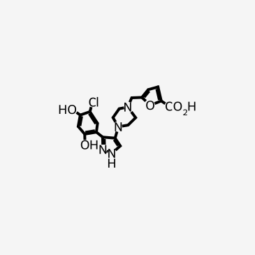 O=C(O)c1ccc(CN2CCN(c3c[nH]nc3-c3cc(Cl)c(O)cc3O)CC2)o1